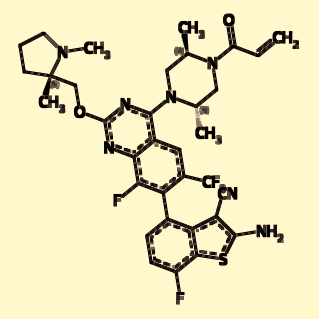 C=CC(=O)N1C[C@H](C)N(c2nc(OC[C@]3(C)CCCN3C)nc3c(F)c(-c4ccc(F)c5sc(N)c(C#N)c45)c(C(F)(F)F)cc23)C[C@H]1C